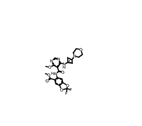 COC(=O)c1cc2c(cc1NC(=O)c1c(NC34CC(N5CCOCC5)(C3)C4)ncnc1OC)OC(F)(F)O2